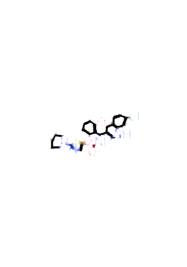 O=C(NC(c1ccccc1)c1c[nH]c2cc(Cl)ccc2c1=O)Oc1cnc(N2CCCCC2)s1